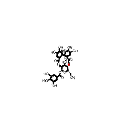 O=C(O[C@@H]1O[C@H](CO)[C@H]2OC(=O)c3cc(O)c(O)c(O)c3-c3c(cc(O)c(O)c3O)C(=O)O[C@@H]1[C@H]2O)c1cc(O)c(O)c(O)c1